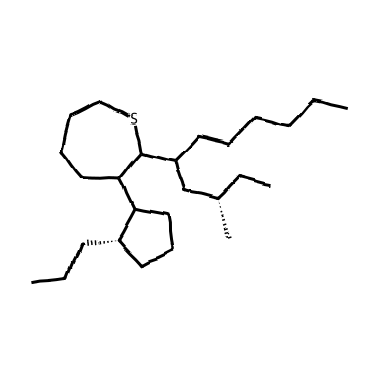 CCCCCCC(C[C@@H](C)CC)C1SCCCCC1C1CCC[C@@H]1CCC